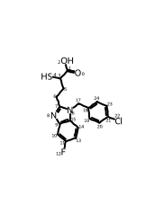 O=C(O)C(S)CCc1nc2cc(F)ccc2n1Cc1ccc(Cl)cc1